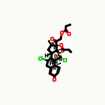 CCC(=O)OCC(=O)[C@]1(OC(=O)CC)[C@H](C)C[C@H]2[C@@H]3[C@H](Cl)CC4=CC(=O)C=C[C@]4(C)[C@@]3(Br)[C@@H](Cl)C[C@@]21C